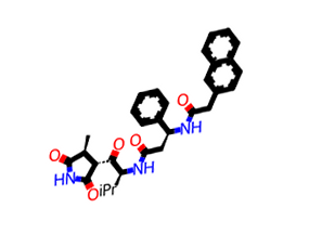 CC(C)[C@H](NC(=O)C[C@H](NC(=O)Cc1ccc2ccccc2c1)c1ccccc1)C(=O)[C@@H]1C(=O)NC(=O)[C@H]1C